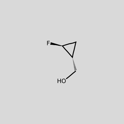 OC[C@H]1C[C@@H]1F